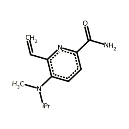 C=Cc1nc(C(N)=O)ccc1N(C)C(C)C